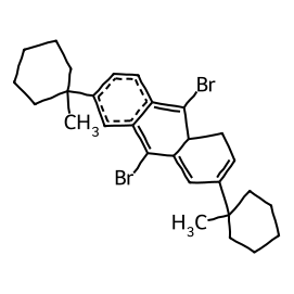 CC1(C2=CCC3C(=C2)C(Br)=c2cc(C4(C)CCCCC4)ccc2=C3Br)CCCCC1